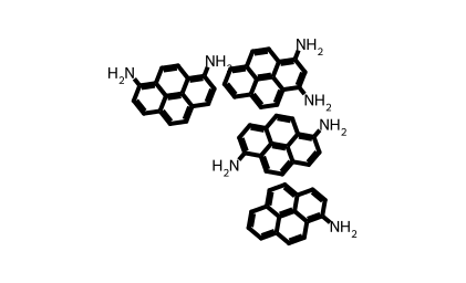 Nc1cc(N)c2ccc3cccc4ccc1c2c43.Nc1ccc2ccc3c(N)ccc4ccc1c2c43.Nc1ccc2ccc3ccc(N)c4ccc1c2c34.Nc1ccc2ccc3cccc4ccc1c2c34